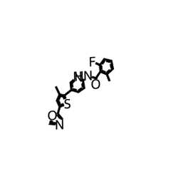 Cc1cc(-c2cnco2)sc1-c1ccc(NC(=O)c2c(C)cccc2F)nc1